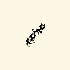 O=C(c1cc(-c2ccncc2)[nH]n1)N1CCC(C(=O)N2CCC23COC3)CC1